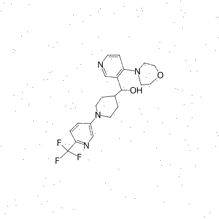 OC(c1cnccc1N1CCOCC1)C1CCN(c2ccc(C(F)(F)F)nc2)CC1